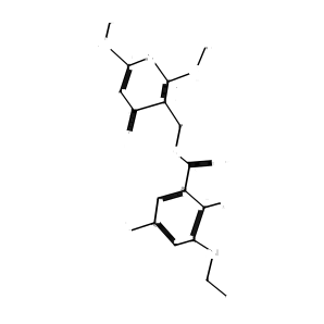 CCNc1cc(Cl)cc(C(=O)NCc2c(OC)[nH]c(OC)cc2=O)c1C